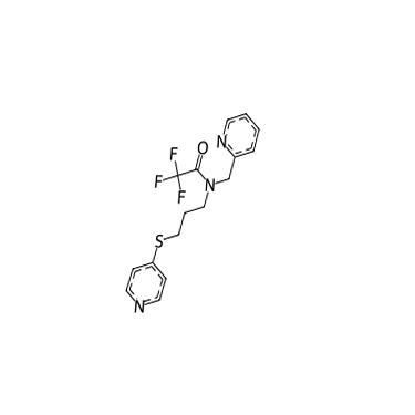 O=C(N(CCCSc1ccncc1)Cc1ccccn1)C(F)(F)F